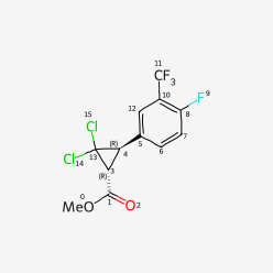 COC(=O)[C@H]1[C@H](c2ccc(F)c(C(F)(F)F)c2)C1(Cl)Cl